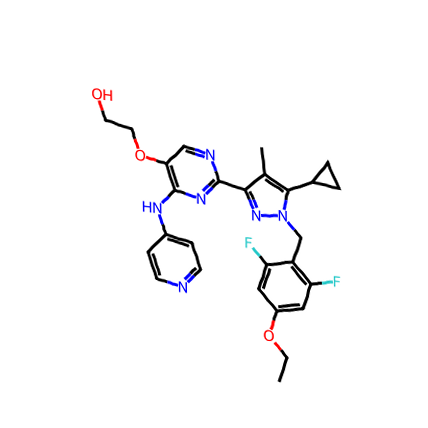 CCOc1cc(F)c(Cn2nc(-c3ncc(OCCO)c(Nc4ccncc4)n3)c(C)c2C2CC2)c(F)c1